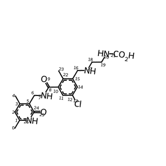 Cc1cc(C)c(CNC(=O)c2cc(Cl)cc(CNCCNC(=O)O)c2C)c(=O)[nH]1